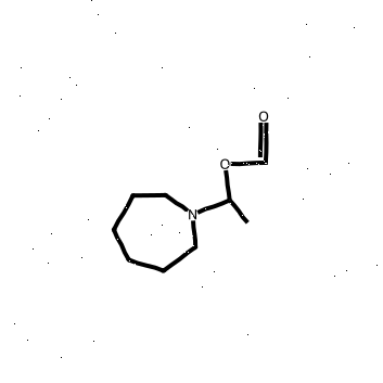 CC(OC=O)N1CCCCCC1